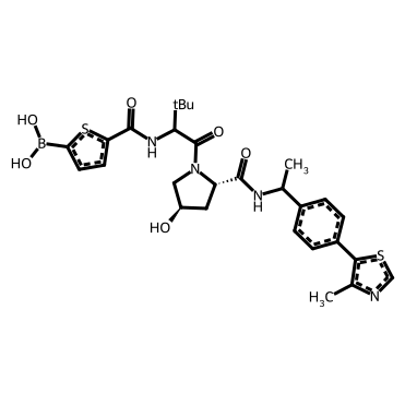 Cc1ncsc1-c1ccc(C(C)NC(=O)[C@@H]2C[C@@H](O)CN2C(=O)C(NC(=O)c2ccc(B(O)O)s2)C(C)(C)C)cc1